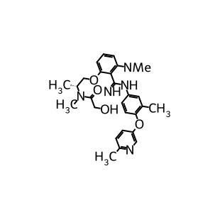 CNc1cccc(OC[C@@H](C)N(C)C(=O)CO)c1C(=N)Nc1ccc(Oc2ccc(C)nc2)c(C)c1